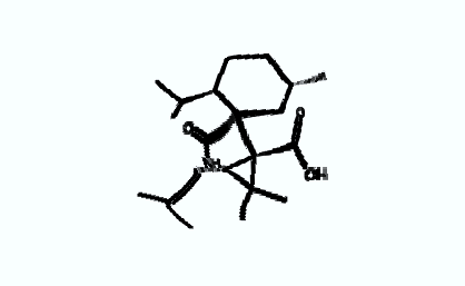 CC(C)=C[C@H]1C(C)(C)[C@@]1(C(=O)O)[C@@]1(C(N)=O)C[C@@H](C)CC[C@@H]1C(C)C